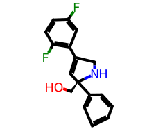 OC[C@@]1(c2ccccc2)C=C(c2cc(F)ccc2F)CN1